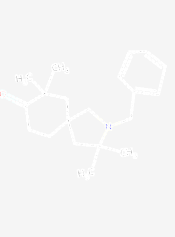 CC1(C)CC2(CCC1=O)CN(Cc1ccccc1)C(C)(C)C2